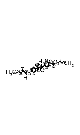 CCCCCOC(=O)Oc1ccc(C(=O)NS(=O)(=O)c2ccc(CCNC(=O)CCCC)cc2)cn1